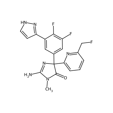 CN1C(=O)C(c2cc(F)c(F)c(-c3cc[nH]n3)c2)(c2cccc(CF)n2)N=C1N